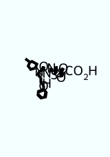 CC1CCC(N(CCCOc2ccccc2)C(=O)Nc2ncc(S(=O)(=O)CC(=O)O)s2)CC1